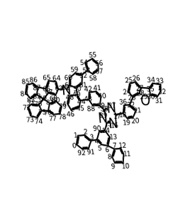 c1ccc(-c2cc(-c3ccccc3)cc(-c3nc(-c4cccc(-c5cccc6c5oc5ccccc56)c4)nc(-c4cccc(-c5cccc6c5c5cc(-c7ccccc7)ccc5n6-c5ccc6c(c5)C5(c7ccccc7-c7ccccc75)c5ccccc5-6)c4)n3)c2)cc1